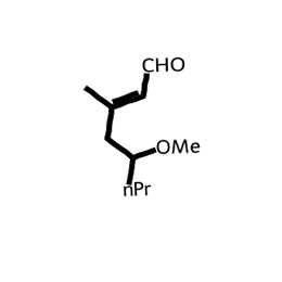 CCCC(CC(C)=CC=O)OC